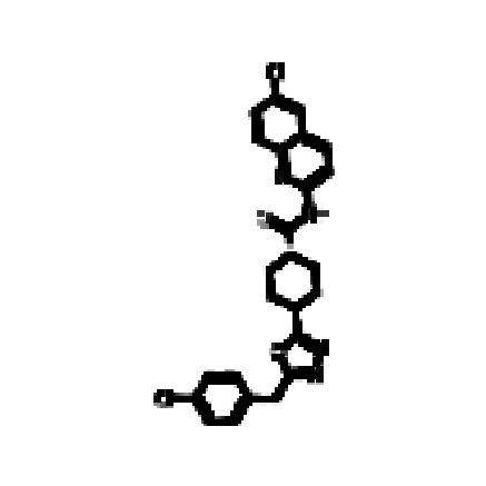 O=C(Nc1ccc2cc(Cl)ccc2n1)[C@H]1CC[C@H](c2nnc(Cc3ccc(Cl)cc3)o2)CC1